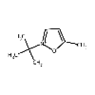 Cc1cc[n+](C(C)(C)C)o1